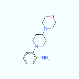 Nc1ccccc1N1CCC(N2CCOCC2)CC1